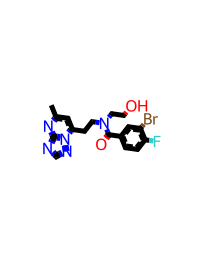 Cc1cc(CCN(CCO)C(=O)c2ccc(F)c(Br)c2)n2ncnc2n1